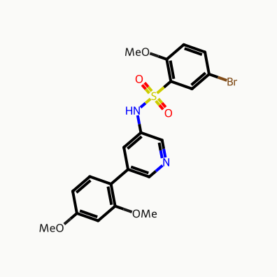 COc1ccc(-c2cncc(NS(=O)(=O)c3cc(Br)ccc3OC)c2)c(OC)c1